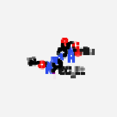 CCOC(=O)c1cc(N2CCC3(CC2)CO[C@@H](C)[C@H]3NC(=O)OC(C)(C)C)nc2c1c(I)nn2COCC[Si](C)(C)C